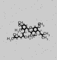 COc1ccc(C2CC(=O)c3c(cc(OC)c(CC=C(C)C)c3OC)O2)c(C/C=C(\C)CCC=C(C)C)c1C